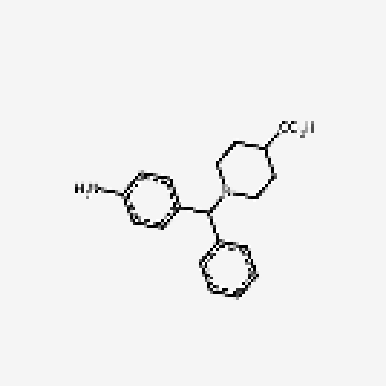 Nc1ccc(C(c2ccccc2)N2CCC(C(=O)O)CC2)cc1